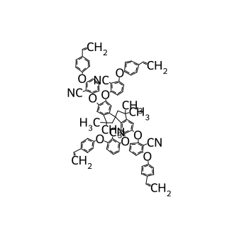 C=Cc1ccc(Oc2cccc(Oc3cc4c(cc3Oc3cccc(Oc5ccc(C=C)cc5)c3C#N)C3(CC4(C)C)CC(C)(C)c4cc(Oc5cccc(Oc6ccc(C=C)cc6)c5C#N)c(Oc5cccc(Oc6ccc(C=C)cc6)c5C#N)cc43)c2C#N)cc1